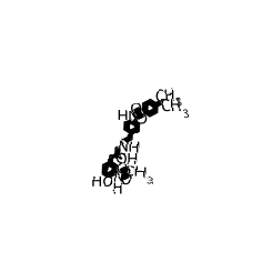 CC(C)c1ccc(S(=O)(=O)Nc2ccc(CCNC[C@@H](O)Cc3ccc(O)c(NS(C)(=O)=O)c3)cc2)cc1